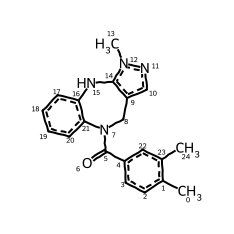 Cc1ccc(C(=O)N2Cc3cnn(C)c3Nc3ccccc32)cc1C